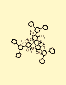 Cc1c(C)c(N(c2c(C)c(C)c(-c3cc(-c4ccccc4)cc(-c4ccccc4)c3)c(C)c2C)c2c(C)c(C)c(-c3cc(-c4ccccc4)cc(-c4ccccc4)c3)c(C)c2C)c(C)c(C)c1-c1cc(-c2ccccc2)cc(-c2ccccc2)c1